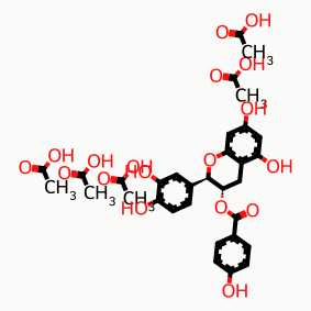 CC(=O)O.CC(=O)O.CC(=O)O.CC(=O)O.CC(=O)O.O=C(O[C@H]1Cc2c(O)cc(O)cc2O[C@@H]1c1ccc(O)c(O)c1)c1ccc(O)cc1